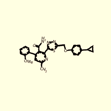 COc1ccccc1-c1cc(C)nc(-c2nnc(COc3ccc(C4CC4)cc3)s2)c1C(N)=O